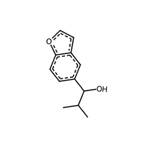 CC(C)C(O)c1ccc2occc2c1